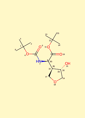 CC(C)(C)OC(=O)N[C@@H](C(=O)OC(C)(C)C)[C@@H]1COC[C@H]1O